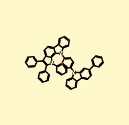 c1ccc(-c2ccc3c4ccccc4n(-c4ccc(-n5c6ccccc6c6ccc7c(-c8ccccc8)c(-c8ccccc8)n(-c8ccccc8)c7c65)cc4)c3c2)cc1